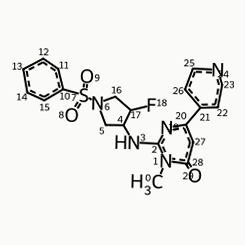 Cn1c(NC2CN(S(=O)(=O)c3ccccc3)CC2F)nc(-c2ccncc2)cc1=O